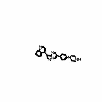 C1=[N+](c2ccc(-c3cnc4c(-c5ccnc6ccccc56)cnn4c3)cc2)CCNC1